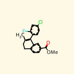 COC(=O)c1ccc2c(c1)C(c1ccc(Cl)cc1F)=C(C)CC2